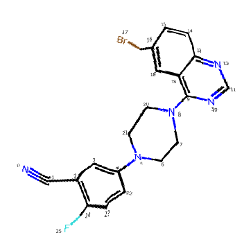 N#Cc1cc(N2CCN(c3ncnc4ccc(Br)cc34)CC2)ccc1F